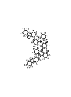 c1cc2c3c(c1)-n1c4ccc5c6ccccc6oc5c4c4cccc(c41)B3c1cc3c(cc1S2)Sc1cccc2c1B3c1cccc3c4c5oc6ccccc6c5ccc4n-2c13